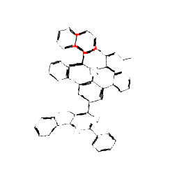 C=C(/C(=C\C)c1ccccc1)N(C(=C)/C(=C\CC)c1ccccc1)c1c(-c2ccccc2)cc(-c2nc(-c3ccccc3)nc3c2sc2ccccc23)cc1-c1ccccc1